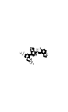 Cc1cc(-c2cnc(NCc3c(F)ccc4c3CCO4)n3cnnc23)c2nc(C(F)(F)F)cn2c1